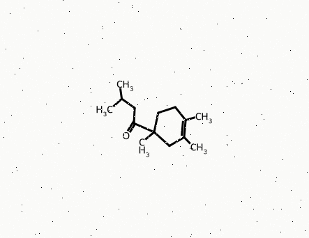 CC1=C(C)CC(C)(C(=O)CC(C)C)CC1